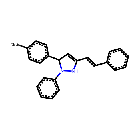 CC(C)(C)c1ccc(C2C=C(C=Cc3ccccc3)NN2c2ccccc2)cc1